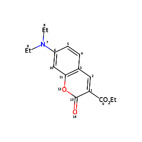 CCOC(=O)c1cc2ccc(N(CC)CC)cc2oc1=O